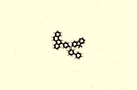 CC1(C)c2ccccc2-c2ccc(N(c3ccc(-c4cc5c6ccccc6ccc5c5ccccc45)cc3)c3cccc(-c4ccccc4)c3)cc21